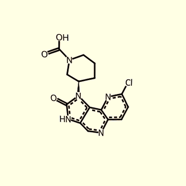 O=C(O)N1CCC[C@@H](n2c(=O)[nH]c3cnc4ccc(Cl)nc4c32)C1